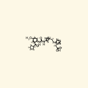 Cc1ccc(NC(=O)Nc2ncc(CCc3nnnn3CC(=O)O)s2)c(C(=O)C2CCCC2)c1